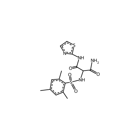 Cc1cc(C)c(S(=O)(=O)NC(C(N)=O)C(=O)Nc2nccs2)c(C)c1